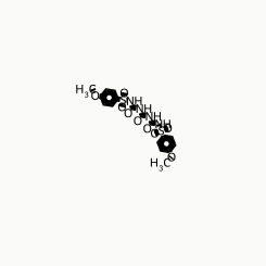 COc1ccc(S(=O)(=O)NC(=O)NC(=O)NC(=O)NS(=O)(=O)c2ccc(OC)cc2)cc1